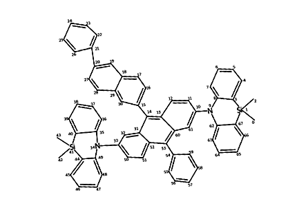 C[Si]1(C)c2ccccc2N(c2ccc3c(-c4ccc5cc(-c6ccccc6)ccc5c4)c4cc(N5c6ccccc6[Si](C)(C)c6ccccc65)ccc4c(-c4ccccc4)c3c2)c2ccccc21